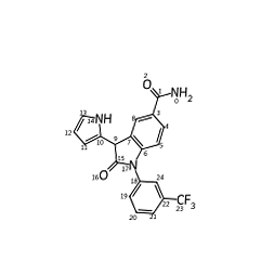 NC(=O)c1ccc2c(c1)C(c1ccc[nH]1)C(=O)N2c1cccc(C(F)(F)F)c1